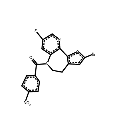 O=C(c1ccc([N+](=O)[O-])cc1)N1CCc2cc(Br)sc2-c2ncc(F)cc21